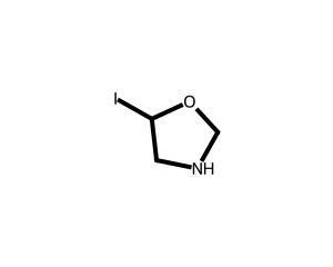 IC1CNCO1